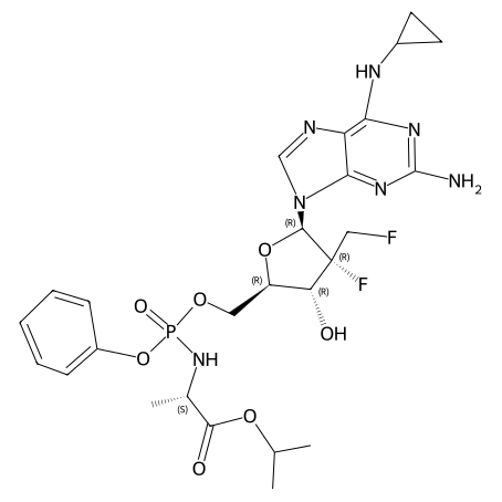 CC(C)OC(=O)[C@H](C)NP(=O)(OC[C@H]1O[C@@H](n2cnc3c(NC4CC4)nc(N)nc32)[C@@](F)(CF)[C@@H]1O)Oc1ccccc1